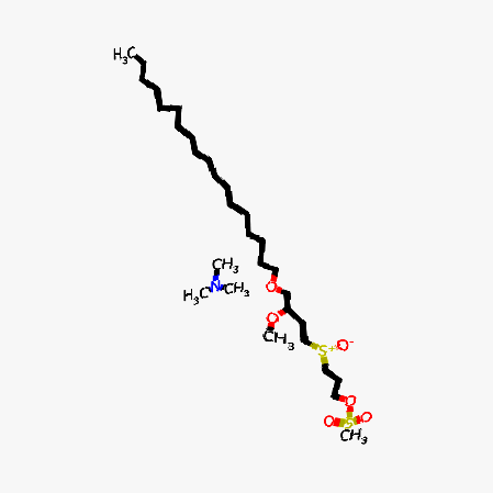 CCCCCCCCCCCCCCCCCCOCC(CC[S+]([O-])CCCOS(C)(=O)=O)OC.CN(C)C